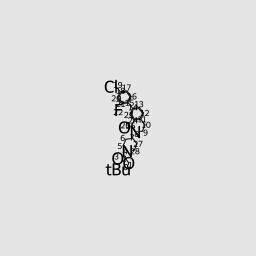 CC(C)(C)OC(=O)N1CCC(N2CCc3ccc(-c4ccc(Cl)cc4F)cc3C2=O)CC1